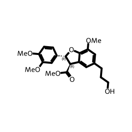 COC(=O)[C@@H]1c2cc(CCCO)cc(OC)c2O[C@H]1c1ccc(OC)c(OC)c1